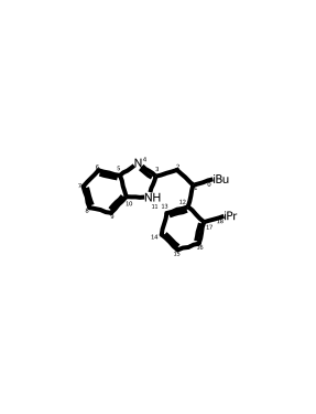 CCC(C)[C](Cc1nc2ccccc2[nH]1)c1ccccc1C(C)C